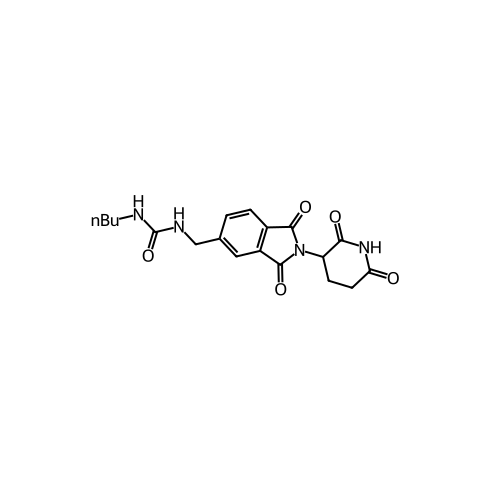 CCCCNC(=O)NCc1ccc2c(c1)C(=O)N(C1CCC(=O)NC1=O)C2=O